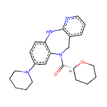 O=C([C@H]1CCCCO1)N1Cc2cccnc2Nc2ccc(N3CCCCC3)cc21